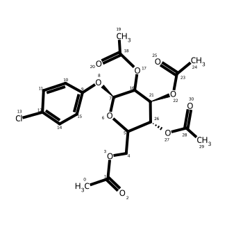 CC(=O)OCC1O[C@@H](Oc2ccc(Cl)cc2)C(OC(C)=O)[C@@H](OC(C)=O)[C@@H]1OC(C)=O